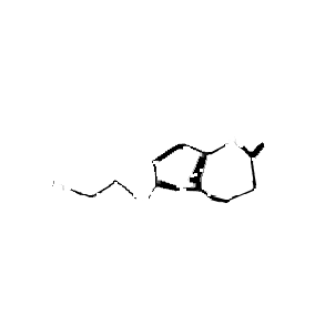 CC(C)CCOc1ccc2c(c1)CCC(=O)N2